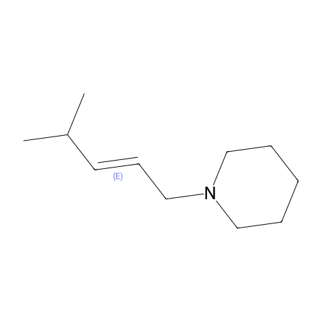 CC(C)/C=C/CN1CCCCC1